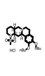 CCCCOc1cc2c(cc1OCCCC)[C@H]1C[C@H]3[C@H](CCCN3S(C)(=O)=O)CN1CC2.Cl